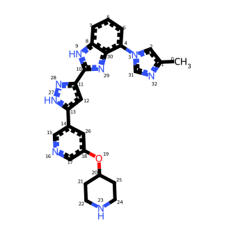 Cc1cn(-c2cccc3[nH]c(-c4cc(-c5cncc(OC6CCNCC6)c5)[nH]n4)nc23)cn1